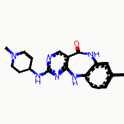 Cc1ccc2c(c1)NC(=O)c1cnc(NC3CCN(C)CC3)nc1N2